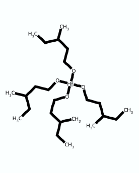 CCC(C)CC[O][Hf]([O]CCC(C)CC)([O]CCC(C)CC)[O]CCC(C)CC